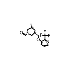 C[C@H]1C[C@@H](COc2cccnc2C(F)(F)F)CN(C=O)C1